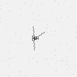 CCCCCCCO[SiH](OCCCCCCC)OCCCCCCC